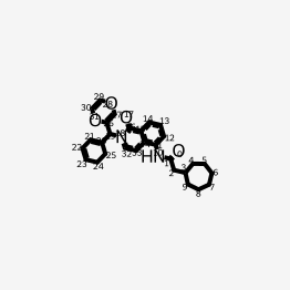 O=C(CC1CCCCCC1)Nc1cccc2c(=O)n(C(C3=CC=CCC3)C3=COC=CO3)ccc12